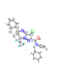 CN(Cc1ccccc1)C(=O)c1nn2c(C(F)(F)F)c3c(nc2c1Cl)-c1ccccc1CC3